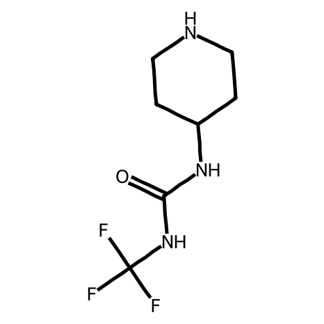 O=C(NC1CCNCC1)NC(F)(F)F